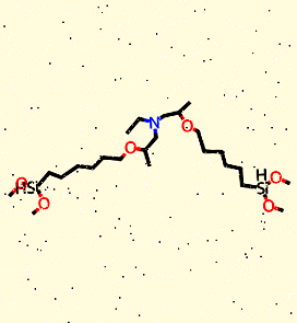 CCN(CC(C)OCCCCCC[SiH](OC)OC)CC(C)OCCCCCC[SiH](OC)OC